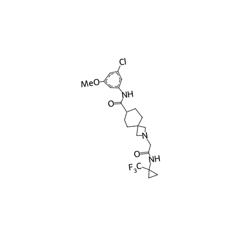 COc1cc(Cl)cc(NC(=O)C2CCC3(CC2)CN(CC(=O)NC2(C(F)(F)F)CC2)C3)c1